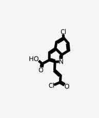 O=C(Cl)C=Cc1nc2ccc(Cl)cc2cc1C(=O)O